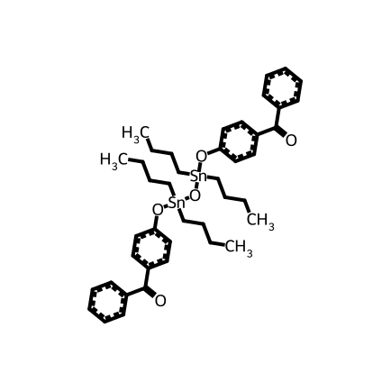 CCC[CH2][Sn]([CH2]CCC)([O]c1ccc(C(=O)c2ccccc2)cc1)[O][Sn]([CH2]CCC)([CH2]CCC)[O]c1ccc(C(=O)c2ccccc2)cc1